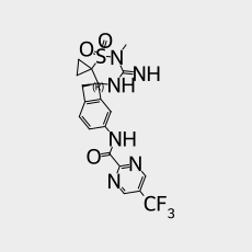 CN1C(=N)N[C@@]2(Cc3ccc(NC(=O)c4ncc(C(F)(F)F)cn4)cc32)C2(CC2)S1(=O)=O